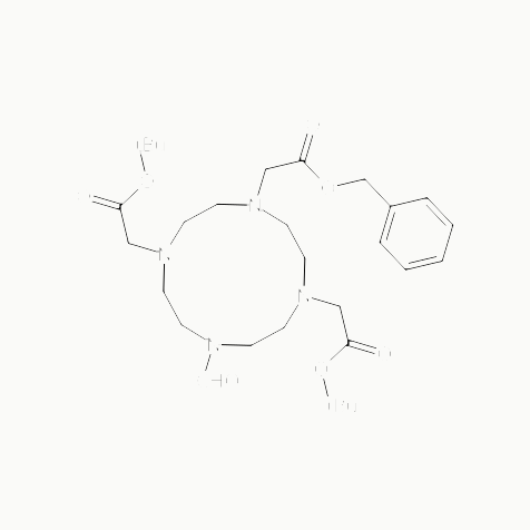 CC(C)(C)OC(=O)CN1CCN(C=O)CCN(CC(=O)OC(C)(C)C)CCN(CC(=O)OCc2ccccc2)CC1